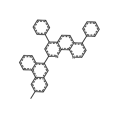 Cc1ccc2cc(-c3cc(-c4ccccc4)c4ccc5c(-c6ccccc6)ccnc5c4n3)c3ccccc3c2c1